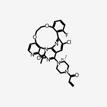 C=CC(=O)N1CCN(c2nc(=O)n3c4nc(c(Cl)cc24)-c2c(F)cccc2OCCOc2ccnc(C(C)C)c2-3)[C@H](C)C1